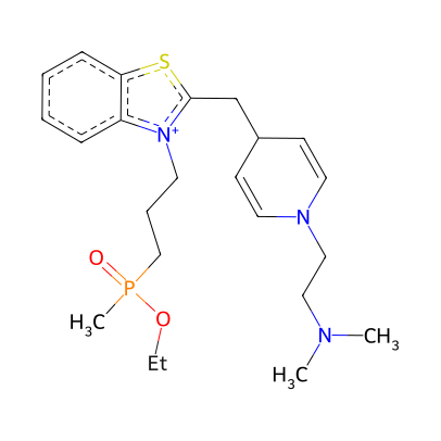 CCOP(C)(=O)CCC[n+]1c(CC2C=CN(CCN(C)C)C=C2)sc2ccccc21